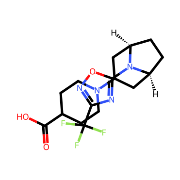 O=C(O)C1CCN(C2C[C@H]3CC[C@@H](C2)N3c2nc(C(F)(F)F)no2)CC1